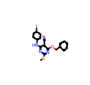 CSc1nc(Nc2ccc(I)cc2)c(C#N)c(OCc2ccccc2)n1